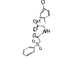 O=C(CS(=O)(=O)c1ccccc1)N[C@@H](Cc1ccc(Cl)cc1)C(=O)O